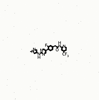 Cn1cc(Nc2ncc(-c3ccc(CC(=O)Nc4cc(C(F)(F)F)ccn4)cc3F)cn2)cn1